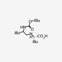 CCC(C)C(CN[C@H](C(=O)O)[C@@H](C)CC)NC(=O)OC(C)(C)C